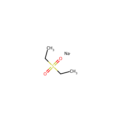 CCS(=O)(=O)CC.[Na]